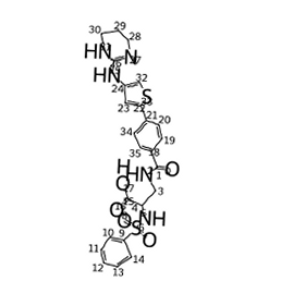 O=C(NCC(NS(=O)(=O)c1ccccc1)C(=O)O)c1ccc(-c2cc(NC3=NCCCN3)cs2)cc1